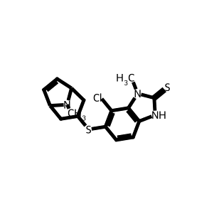 CN1C2C=CC1CC(Sc1ccc3[nH]c(=S)n(C)c3c1Cl)C2